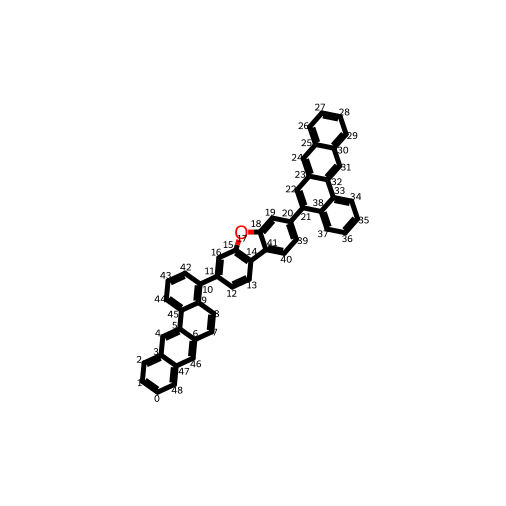 c1ccc2cc3c(ccc4c(-c5ccc6c(c5)oc5cc(-c7cc8cc9ccccc9cc8c8ccccc78)ccc56)cccc43)cc2c1